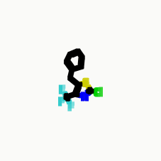 FC(F)(F)c1nc(Cl)sc1Cc1ccccc1